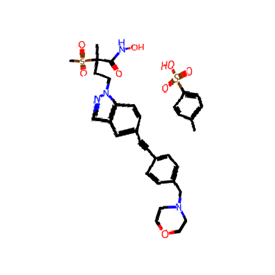 CC(CCn1ncc2cc(C#Cc3ccc(CN4CCOCC4)cc3)ccc21)(C(=O)NO)S(C)(=O)=O.Cc1ccc(S(=O)(=O)O)cc1